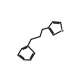 C1=CC(CCCc2ccccc2)=C[N]1